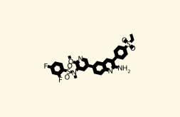 CCS(=O)(=O)c1ccc(-c2cc3cc(-c4cnc(OC)c(N(C)S(=O)(=O)c5ccc(F)cc5F)c4)ccc3nc2N)cc1